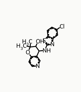 CC1(C)Oc2ccncc2C(Nc2nc3cc(Cl)ccc3s2)C1O